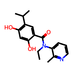 CCN(C(=O)c1cc(C(C)C)c(O)cc1O)c1cccnc1C